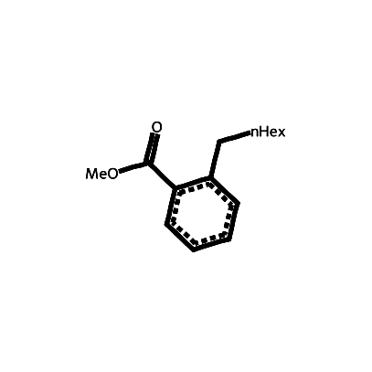 CCCCCCCc1ccccc1C(=O)OC